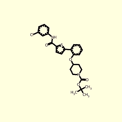 CC(C)(C)OC(=O)N1CCC(Oc2ccccc2-c2ccc(C(=O)Nc3cccc(Cl)c3)s2)CC1